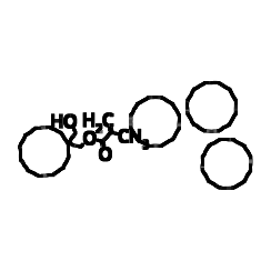 C1CCCCCCCCCCC1.C1CCCCCCCCCCC1.C1CCCCCCCCCCC1.C=C(C)C(=O)OCC1(CO)CCCCCCCCCCC1